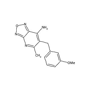 COc1cccc(Cc2c(C)nc3nonc3c2N)c1